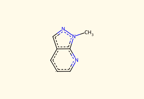 Cn1ncc2c[c]cnc21